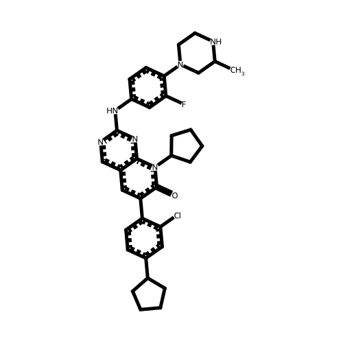 CC1CN(c2ccc(Nc3ncc4cc(-c5ccc(C6CCCC6)cc5Cl)c(=O)n(C5CCCC5)c4n3)cc2F)CCN1